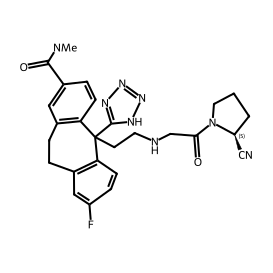 CNC(=O)c1ccc2c(c1)CCc1cc(F)ccc1C2(CCNCC(=O)N1CCC[C@H]1C#N)c1nnn[nH]1